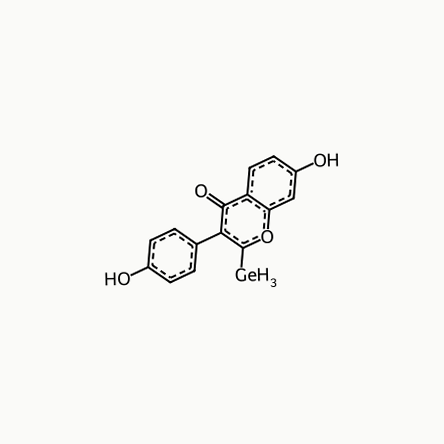 O=c1c(-c2ccc(O)cc2)[c]([GeH3])oc2cc(O)ccc12